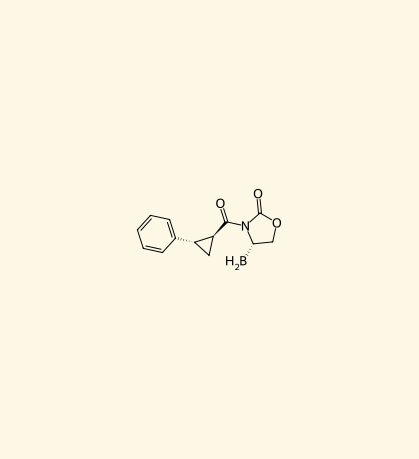 B[C@H]1COC(=O)N1C(=O)[C@H]1C[C@@H]1c1ccccc1